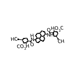 C#Cc1ccc(C(=O)Nc2ccc3ccc4c(NC(=O)c5cc(C#C)ccc5C(=O)O)ccc5ccc2c3c54)c(C(=O)O)c1